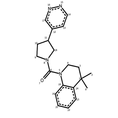 CC1(C)CCN(C(=O)N2CCC(c3ccnnc3)C2)c2ccccc21